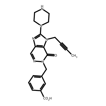 CC#CCn1c(N2CCNCC2)nc2cnn(Cc3cccc(C(=O)O)c3)c(=O)c21